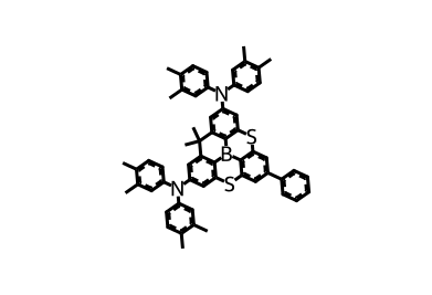 Cc1ccc(N(c2ccc(C)c(C)c2)c2cc3c4c(c2)C(C)(C)c2cc(N(c5ccc(C)c(C)c5)c5ccc(C)c(C)c5)cc5c2B4c2c(cc(-c4ccccc4)cc2S5)S3)cc1C